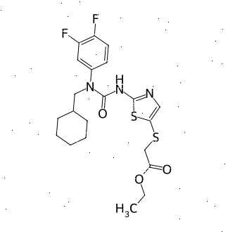 CCOC(=O)CSc1cnc(NC(=O)N(CC2CCCCC2)c2ccc(F)c(F)c2)s1